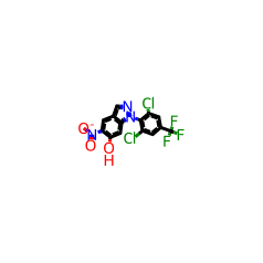 O=[N+]([O-])c1cc2cnn(-c3c(Cl)cc(C(F)(F)F)cc3Cl)c2cc1O